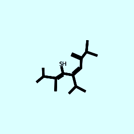 C=C(/C=C(\C(S)=C(/C)C(C)C)C(C)C)C(C)C